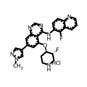 Cl.Cn1cc(-c2cc(O[C@@H]3CCNC[C@H]3F)c3c(Nc4ccc5ncccc5c4F)ncnc3c2)cn1